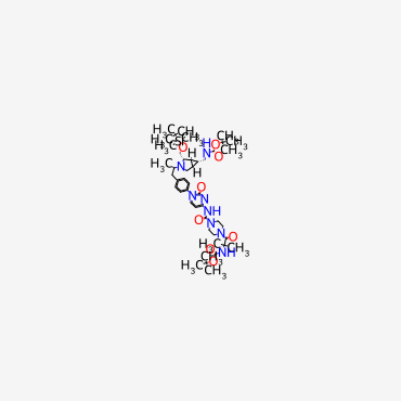 CC(Cc1ccc(-n2ccc(NC(=O)N3CCN(C(=O)C(C)(C)NC(=O)OC(C)(C)C)CC3)nc2=O)cc1)N1C[C@@H]2[C@@H](CNC(=O)OC(C)(C)C)[C@@H]2[C@H]1CO[Si](C)(C)C(C)(C)C